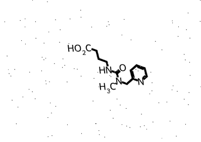 CN(Cc1ccccn1)C(=O)NCCCC(=O)O